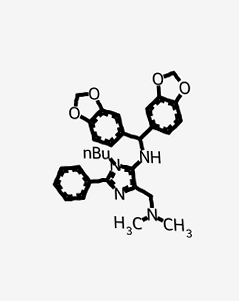 CCCCn1c(-c2ccccc2)nc(CN(C)C)c1NC(c1ccc2c(c1)OCO2)c1ccc2c(c1)OCO2